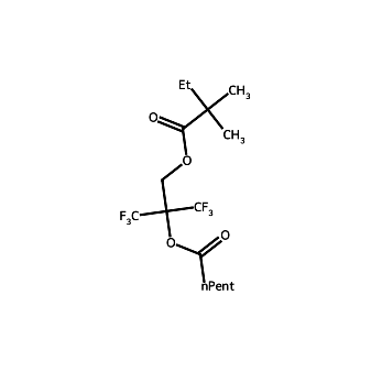 CCCCCC(=O)OC(COC(=O)C(C)(C)CC)(C(F)(F)F)C(F)(F)F